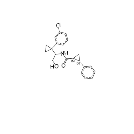 O=C(NC(CO)C1(c2cccc(Cl)c2)CC1)[C@H]1C[C@@H]1c1ccccc1